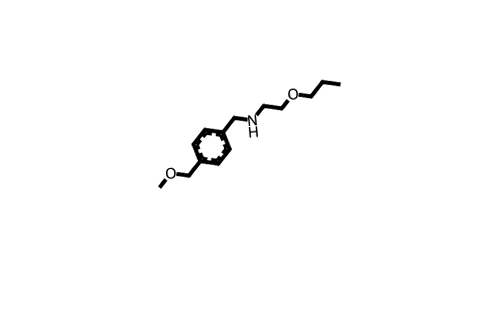 CCCOCCNCc1ccc(COC)cc1